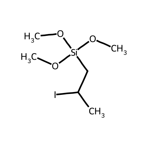 CO[Si](CC(C)I)(OC)OC